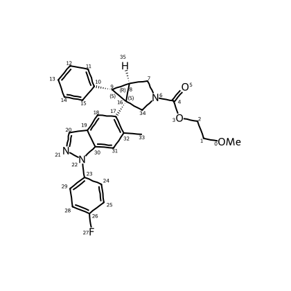 COCCOC(=O)N1C[C@@H]2[C@@H](c3ccccc3)[C@]2(c2cc3cnn(-c4ccc(F)cc4)c3cc2C)C1